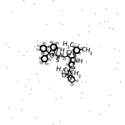 Cc1cc(C)cc(-c2[nH]c3sc(C(C)(C)C(=O)N4C5CCC4CC5)cc3c2[C@H](C)CNC(=S)NOC(c2ccccc2)(c2ccccc2)c2ccccc2)c1